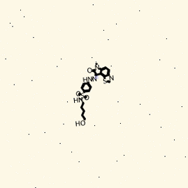 CN1C(=O)/C(=N\Nc2ccc(S(=O)(=O)NCCCCCO)cc2)c2c1ccc1ncsc21